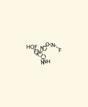 C[C@@H]1Cc2c(ccc3[nH]ncc23)C(c2ccc(OC3CN(CCCF)C3)cn2)N1CC(F)(F)CO